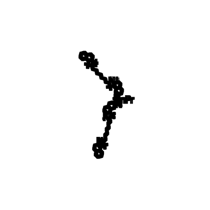 CCCC(N(C)c1ccc2ccc3c(c2c1)C(C)(C)C(C=CC=CC=CC=C1N(C)c2ccc4ccccc4c2C1(C)C)=[N+]3C)N(C)c1ccc2ccc3c(c2c1)C(C)(C)C(C=CC=CC=CC=C1N(C)c2ccc4ccccc4c2C1(C)C)=[N+]3C